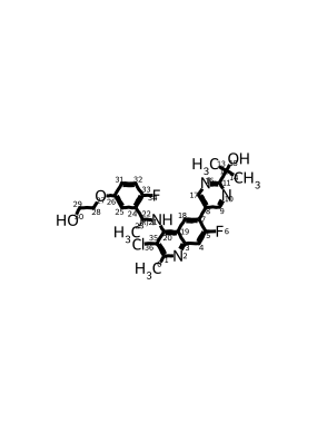 Cc1nc2cc(F)c(-c3cnc(C(C)(C)O)nc3)cc2c(N[C@H](C)c2cc(OCCO)ccc2F)c1Cl